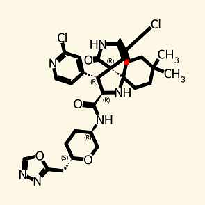 CC1(C)CCC2(CC1)N[C@@H](C(=O)N[C@@H]1CC[C@@H](Cc3nnco3)OC1)[C@H](c1ccnc(Cl)c1)[C@]21C(=O)Nc2cc(Cl)ccc21